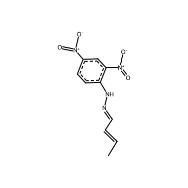 C/C=C/C=N/Nc1ccc([N+](=O)[O-])cc1[N+](=O)[O-]